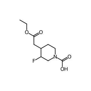 CCOC(=O)CC1CCN(C(=O)O)CC1F